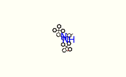 CC1=CC(C)=C(C2=NC(C3=C[C@H](C(c4ccccc4)(c4ccccc4)c4ccccc4)CC=C3)=CC(c3cccc(C(c4ccccc4)(c4ccccc4)C4C=CC=CC4C)c3)N2)C(C)C1